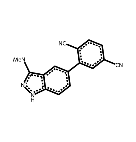 CNc1n[nH]c2ccc(-c3cc(C#N)ccc3C#N)cc12